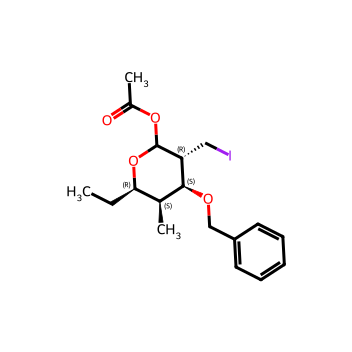 CC[C@H]1OC(OC(C)=O)[C@H](CI)[C@@H](OCc2ccccc2)[C@H]1C